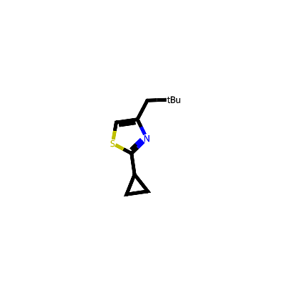 CC(C)(C)Cc1csc(C2CC2)n1